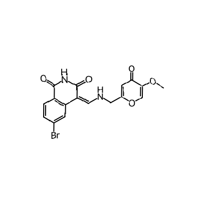 COc1coc(CN/C=C2\C(=O)NC(=O)c3ccc(Br)cc32)cc1=O